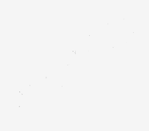 O=C(Cc1ccc2cc[nH]c2c1)NCCc1ccccc1